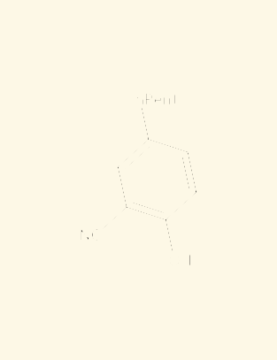 CCCCCc1ccc(O)c(C#N)c1